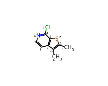 Cc1sc2c(Cl)nccc2c1C